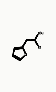 CCCCC(CC)Cc1ccco1